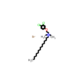 CCCCCCCCCCCCCCCC[N+](CC)(CC)CCOc1ccc(Cl)c(Cl)c1.[Br-]